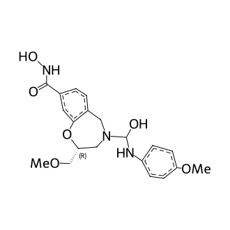 COC[C@H]1CN(C(O)Nc2ccc(OC)cc2)Cc2ccc(C(=O)NO)cc2O1